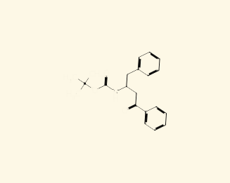 CC(C)(C)OC(=O)NC(CC(=O)c1ccccc1)Cc1ccccc1